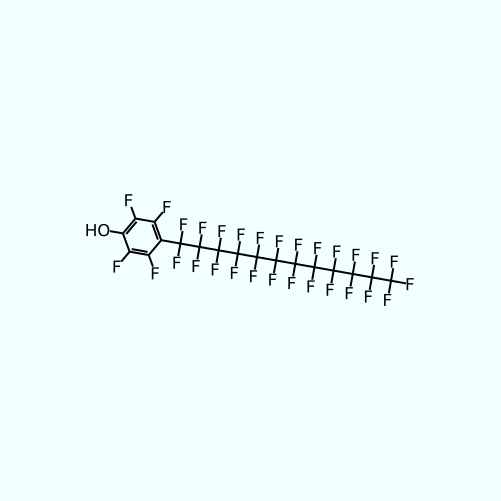 Oc1c(F)c(F)c(C(F)(F)C(F)(F)C(F)(F)C(F)(F)C(F)(F)C(F)(F)C(F)(F)C(F)(F)C(F)(F)C(F)(F)C(F)(F)C(F)(F)F)c(F)c1F